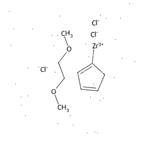 COCCOC.[Cl-].[Cl-].[Cl-].[Zr+3][C]1=CC=CC1